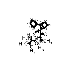 CCN(C(=O)[C@H](NC(=O)C(N)C(C)C)C(C)C)C1C2CCC(C2)C1c1ccccc1